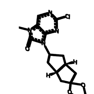 Cn1c(=O)n(C2C[C@@H]3CC4(C[C@@H]3C2)OCCO4)c2nc(Cl)ncc21